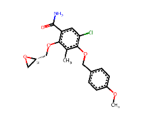 COc1ccc(COc2c(Cl)cc(C(N)=O)c(OC[C@@H]3CO3)c2C)cc1